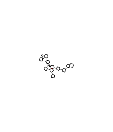 c1ccc(-c2cccc(-c3ccccc3N(c3ccc(-c4ccc(-c5cccc(-c6ccc7ccccc7c6)c5)cc4)cc3)c3ccc(-c4cccc5sc6ccccc6c45)cc3)c2)cc1